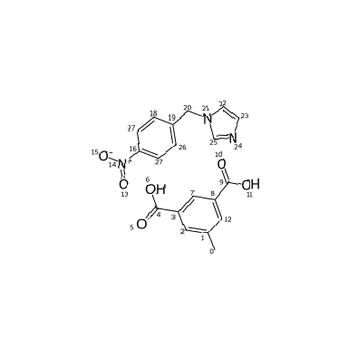 Cc1cc(C(=O)O)cc(C(=O)O)c1.O=[N+]([O-])c1ccc(Cn2ccnc2)cc1